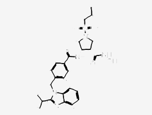 CCCS(=O)(=O)N1C[C@H](C(=O)NO)[C@H](NC(=O)c2ccc(Cn3c(C(C)C)nc4ccccc43)cc2)C1